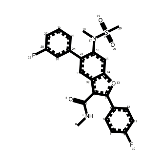 CNC(=O)c1c(-c2ccc(F)cc2)oc2cc(N(C)S(C)(=O)=O)c(-c3cccc(F)c3)cc12